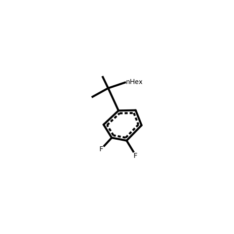 CCCCCCC(C)(C)c1ccc(F)c(F)c1